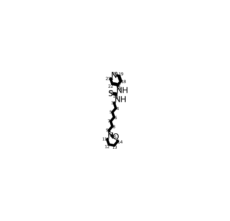 S=C(NCCCCCCCN1CCCCO1)Nc1ccncc1